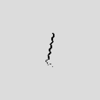 CCCCCCCCCCON